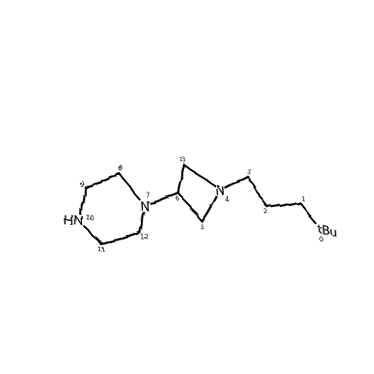 CC(C)(C)CCCN1CC(N2CCNCC2)C1